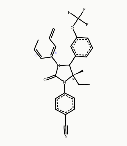 C=C/C=C(\C=C/C)N1C(=O)N(c2ccc(C#N)cc2)[C@@](C)(CC)C1c1cccc(OC(F)(F)F)c1